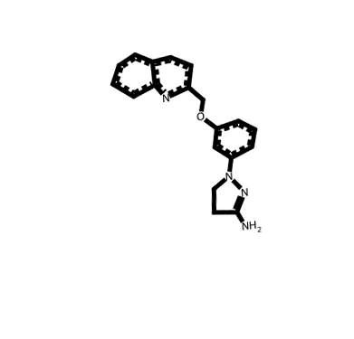 NC1=NN(c2cccc(OCc3ccc4ccccc4n3)c2)CC1